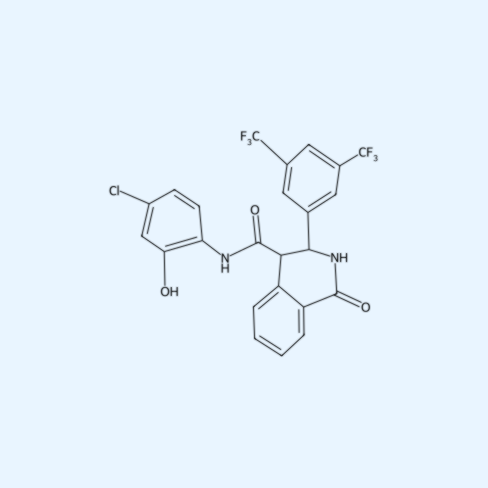 O=C1NC(c2cc(C(F)(F)F)cc(C(F)(F)F)c2)C(C(=O)Nc2ccc(Cl)cc2O)c2ccccc21